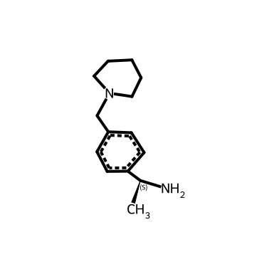 C[C@H](N)c1ccc(CN2CCCCC2)cc1